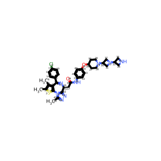 Cc1sc2c(c1C)C(c1ccc(Cl)cc1)=N[C@@H](CC(=O)Nc1ccc(OC3CCN(C4CN(C5CNC5)C4)CC3)cc1)c1nnc(C)n1-2